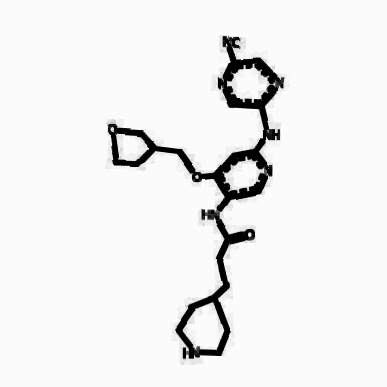 [C-]#[N+]c1cnc(Nc2cc(OCC3CCOC3)c(NC(=O)CCC3CCNCC3)cn2)cn1